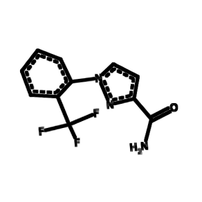 NC(=O)c1ccn(-c2ccccc2C(F)(F)F)n1